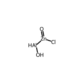 [O]=[Zn]([Cl])[AlH][OH]